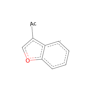 CC(=O)c1coc2ccc[c]c12